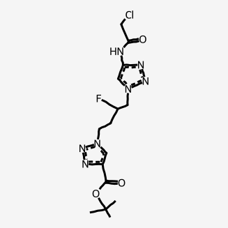 CC(C)(C)OC(=O)c1cn(CCC(F)Cn2cc(NC(=O)CCl)nn2)nn1